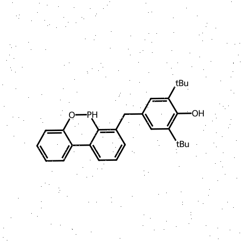 CC(C)(C)c1cc(Cc2cccc3c2POc2ccccc2-3)cc(C(C)(C)C)c1O